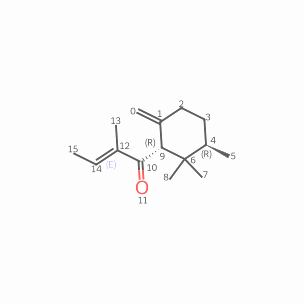 C=C1CC[C@@H](C)C(C)(C)[C@@H]1C(=O)/C(C)=C/C